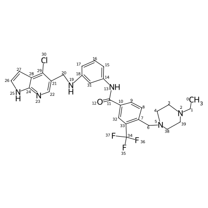 CCN1CCN(Cc2ccc(C(=O)Nc3cccc(NCc4cnc5[nH]ccc5c4Cl)c3)cc2C(F)(F)F)CC1